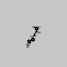 COC(=O)Oc1cccc(-c2cccc(NCCNC[C@H](O)c3cc(Cl)cc(Cl)c3)c2)c1